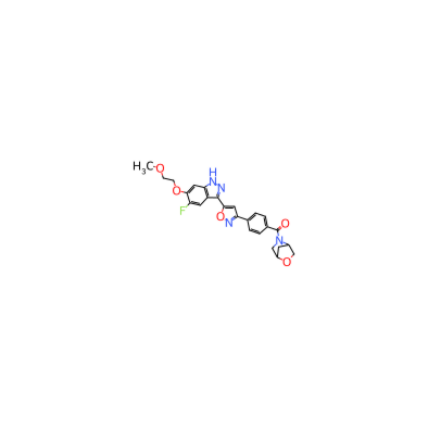 COCCOc1cc2[nH]nc(-c3cc(-c4ccc(C(=O)N5CC6CC5CO6)cc4)no3)c2cc1F